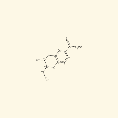 COC(=O)c1ccc2c(c1)C[C@@H](C)N(CC(F)(F)F)C2